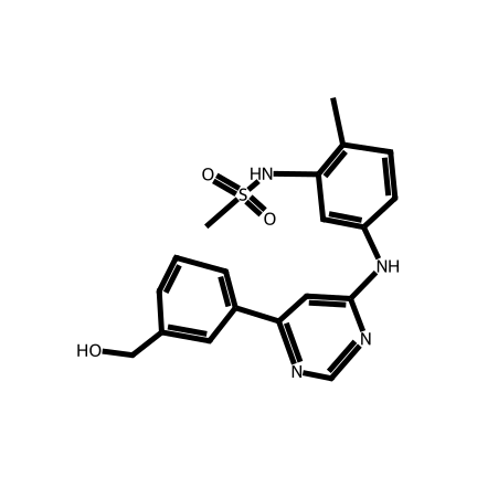 Cc1ccc(Nc2cc(-c3cccc(CO)c3)ncn2)cc1NS(C)(=O)=O